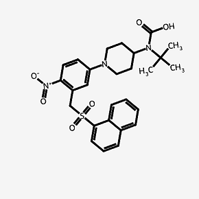 CC(C)(C)N(C(=O)O)C1CCN(c2ccc([N+](=O)[O-])c(CS(=O)(=O)c3cccc4ccccc34)c2)CC1